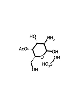 CC(=O)O[C@@H]1[C@H](O)[C@@H](N)C(O)O[C@@H]1CO.O=S(=O)(O)O